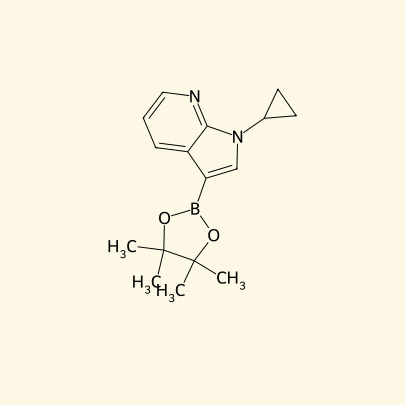 CC1(C)OB(c2cn(C3CC3)c3ncccc23)OC1(C)C